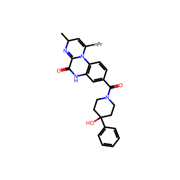 CCCC1=CC(C)N=C2C(=O)Nc3cc(C(=O)N4CCC(O)(c5ccccc5)CC4)ccc3N12